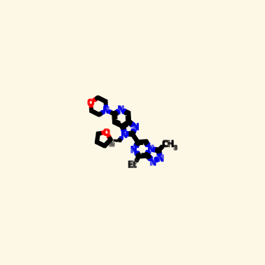 CCc1nc(-c2nc3cnc(N4CCOCC4)cc3n2C[C@@H]2CCCO2)cn2c(C)nnc12